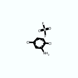 Nc1cc(Cl)ccc1Cl.O=S(=O)(F)F